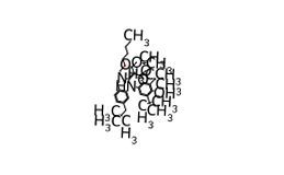 CCCCCCCN(Cc1ccc(CC(C)(C)C)cc1)C(Nc1cc(C(C)(C)C)c(O)c(C(C)(C)C)c1)=C1C(=O)OC(C)(C)OC1=O